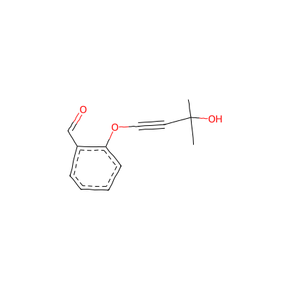 CC(C)(O)C#COc1ccccc1C=O